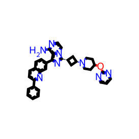 Nc1nccn2c1c(-c1ccc3ccc(-c4ccccc4)nc3c1)nc2[C@H]1C[C@@H](N2CCC(Oc3ncccn3)CC2)C1